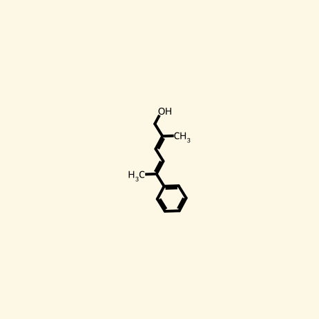 C/C(=C\C=C(/C)c1ccccc1)CO